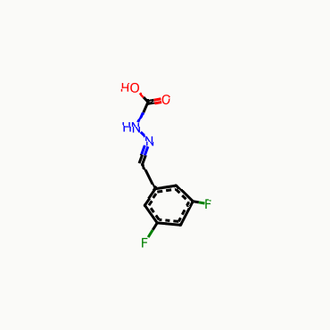 O=C(O)NN=Cc1cc(F)cc(F)c1